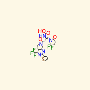 O=C(O)N[C@@H](CC(=O)N1CCc2c(nc(-c3cccs3)nc2C(F)(F)F)C1)CN1CC(F)(F)CCC1=O